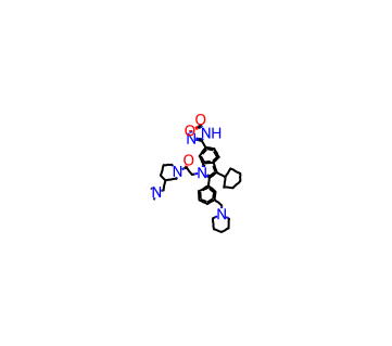 CN(C)CC1CCCN(C(=O)Cn2c(-c3cccc(CN4CCCCC4)c3)c(C3CCCCC3)c3ccc(-c4noc(=O)[nH]4)cc32)C1